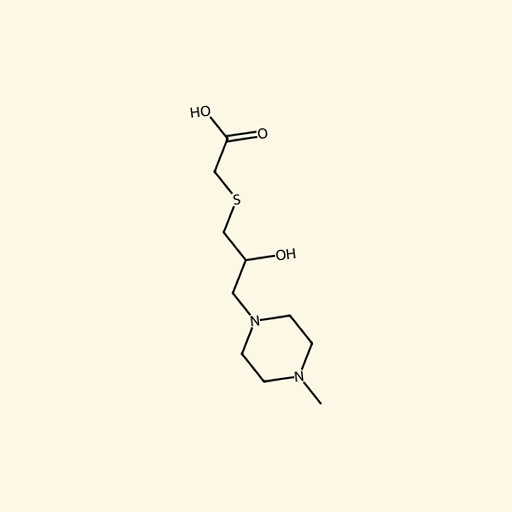 CN1CCN(CC(O)CSCC(=O)O)CC1